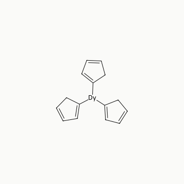 C1=CC[C]([Dy]([C]2=CC=CC2)[C]2=CC=CC2)=C1